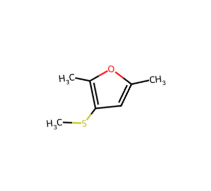 CSc1cc(C)oc1C